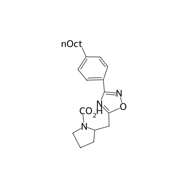 CCCCCCCCc1ccc(-c2noc(CC3CCCN3C(=O)O)n2)cc1